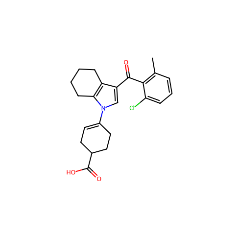 Cc1cccc(Cl)c1C(=O)c1cn(C2=CCC(C(=O)O)CC2)c2c1CCCC2